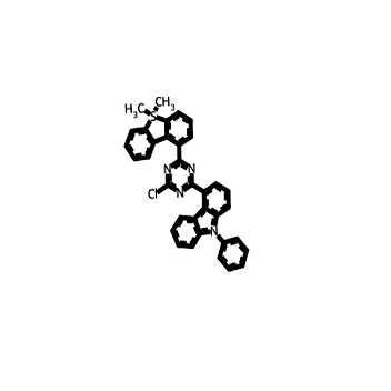 CS1(C)c2ccccc2-c2c(-c3nc(Cl)nc(-c4cccc5c4c4ccccc4n5-c4ccccc4)n3)cccc21